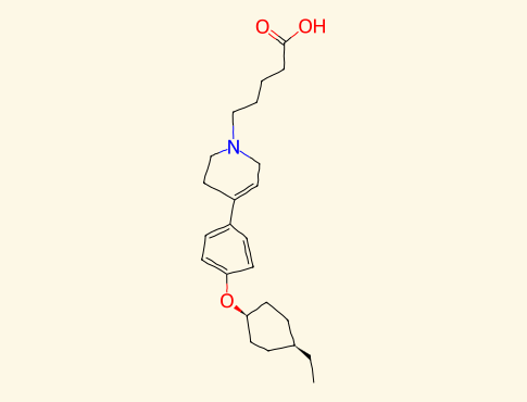 CC[C@H]1CC[C@@H](Oc2ccc(C3=CCN(CCCCC(=O)O)CC3)cc2)CC1